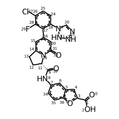 O=C(O)c1cc2cc(NC(=O)[C@@H]3CCc4cc(-c5c(N6C=NNN6)ccc(Cl)c5F)cc(=O)n43)ccc2o1